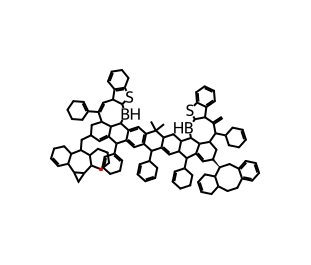 C=C1C2c3ccccc3SC2BC2C3CC4C(=CC3C(C3C=CCCC3)C3=CC([C@H]5Cc6ccccc6CCC6CC=CCC65)CC(C1C1CC=CCC1)C32)C(C1C=CC=CC1)c1cc2c(cc1C4(C)C)C1BC3SC4=C(C=CCC4)C3/C=C(/C3=CCCCC3)C3CC(CC4C5CCC=CC5C5CC5C5CCCCC45)C=C(C2C2=CCCC=C2)C31